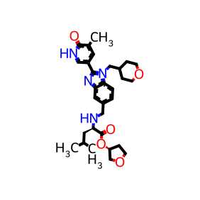 Cc1cc(-c2nc3cc(CN[C@H](CC(C)C)C(=O)O[C@H]4CCOC4)ccc3n2CC2CCOCC2)c[nH]c1=O